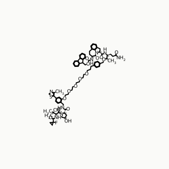 Cc1ncsc1-c1ccc(CNC(=O)[C@@H]2C[C@@H](O)CN2C(=O)[C@@H](NC(=O)C2(F)CC2)C(C)(C)C)c(OCCOCCOCCOCCOCCCc2ccc(CO[C@H](C)[C@H](CCC(N)=O)NC(=O)[C@@H]3Cc4cccc5c4N3C(=O)[C@@H](NC(=O)OCC3c4ccccc4-c4ccccc43)CC5)cc2)c1